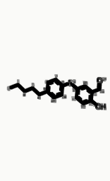 CCCCCc1ccc(Sc2ccc(O)c(C=O)c2)cc1